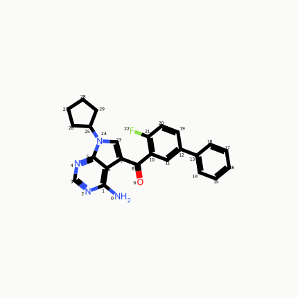 Nc1ncnc2c1c(C(=O)c1cc(-c3ccccc3)ccc1F)cn2C1CCCC1